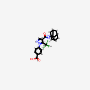 O=C(O)c1ccc(-n2ncc(C(=O)NC34CC5CC(CC(C5)C3)C4)c2C(F)(F)F)cc1